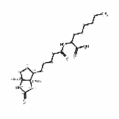 CCCCCCC(NC(=O)CCCC[C@@H]1SC[C@@H]2NC(=O)N[C@@H]21)C(=O)O